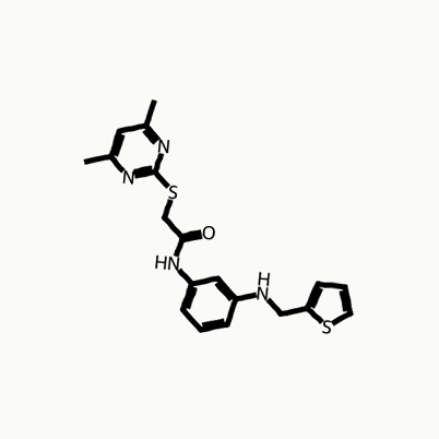 Cc1cc(C)nc(SCC(=O)Nc2cccc(NCc3cccs3)c2)n1